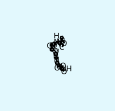 C/C=C\c1cnc(NC2CCN([S+]([O-])c3cccc(OC4CCN(C5CN(c6ccc7c(c6)CN(C6CCC(=O)NC6=O)C7=O)C5)CC4)c3)CC2)nc1N(C=O)C1CCCC1